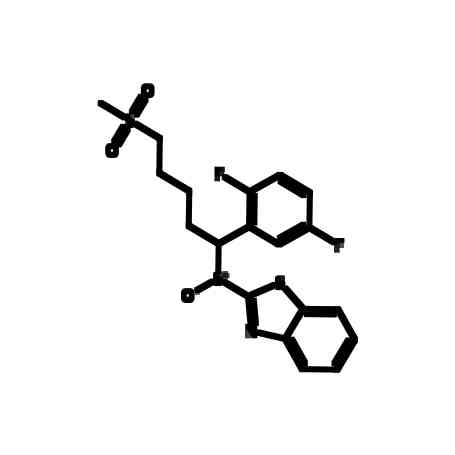 CS(=O)(=O)CCCCC(c1cc(F)ccc1F)[S+]([O-])c1nc2ccccc2s1